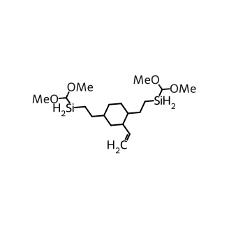 C=CC1CC(CC[SiH2]C(OC)OC)CCC1CC[SiH2]C(OC)OC